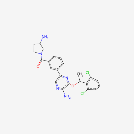 CC(Oc1nc(-c2cccc(C(=O)N3CCC(N)C3)c2)cnc1N)c1c(Cl)cccc1Cl